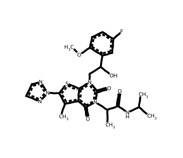 COc1ccc(F)cc1C(O)Cn1c(=O)n(C(C)C(=O)NC(C)C)c(=O)c2c(C)c(-n3nccn3)sc21